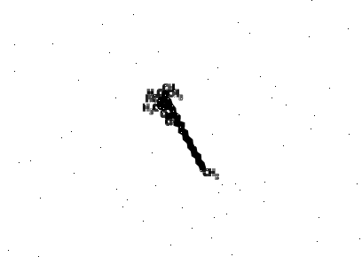 CCCCCCCCCCCCCCCC(Cc1cc(C)c(O)c(C(C)(C)C)c1)C(=O)O